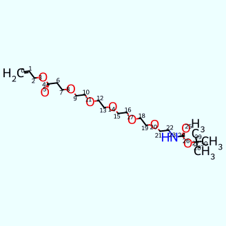 C=CCOC(=O)CCOCCOCCOCCOCCOCCNC(=O)OC(C)(C)C